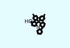 Cc1ccc(C2(c3ccc(C)cc3)c3cc(O)ccc3-n3c4ccccc4c4cccc2c43)cc1